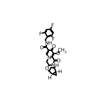 COc1c2n(cc(C(=O)NCc3c(F)cc(F)cc3F)c1=O)CC1OC3C[C@@H]([C@H]4C[C@@H]34)N1C2=O